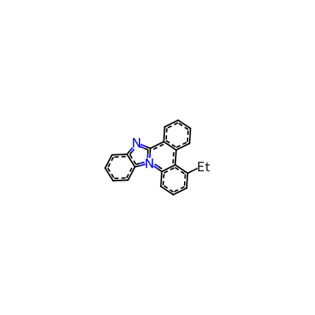 CCc1cccc2c1c1ccccc1c1nc3ccccc3n21